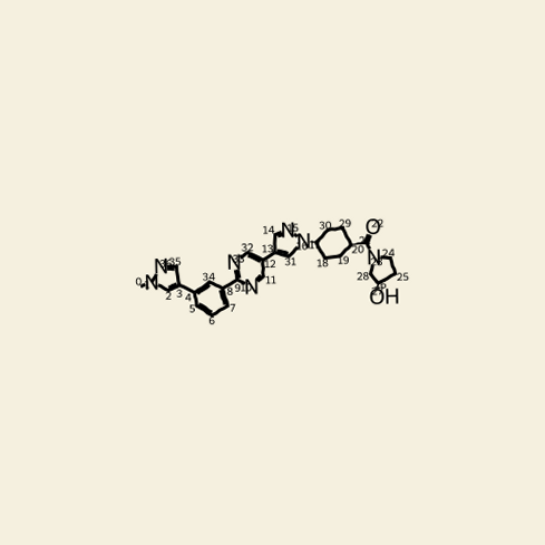 Cn1cc(-c2cccc(-c3ncc(-c4cnn([C@H]5CC[C@H](C(=O)N6CC[C@H](O)C6)CC5)c4)cn3)c2)cn1